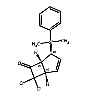 C[Si](C)(c1ccccc1)[C@H]1C=C[C@H]2[C@@H]1C(=O)C2(Cl)Cl